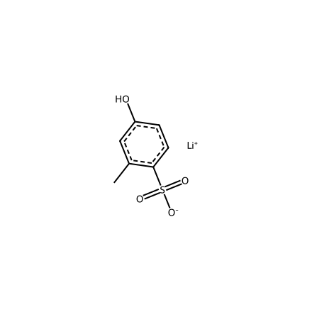 Cc1cc(O)ccc1S(=O)(=O)[O-].[Li+]